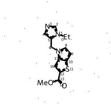 CCn1cncc1Cn1ccc2sc(C(=O)OC)cc21